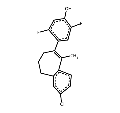 CC1=C(c2cc(F)c(O)cc2F)CCCc2cc(O)ccc21